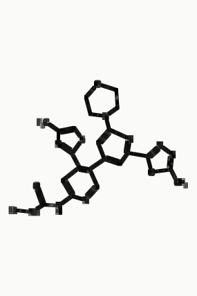 CCNC(=O)Nc1cc(-c2nc(C(F)(F)F)cs2)c(-c2cc(-c3nnc(C)o3)nc(N3CCOCC3)c2)cn1